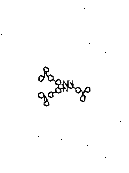 c1ccc(N(c2ccccc2)c2ccc(-c3cnc4nc5c6ccc(-c7ccc(N(c8ccccc8)c8ccccc8)cc7)cc6c6cc(-c7ccc(N(c8ccccc8)c8ccccc8)cc7)ccc6c5nc4c3)cc2)cc1